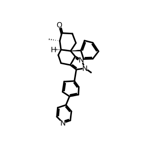 C[C@@H]1C(=O)CC[C@]2(c3ccccc3)c3nn(C)c(-c4ccc(-c5ccncc5)cc4)c3CC[C@@H]12